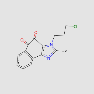 CC(C)c1nc2c(n1CCCCl)C(=O)C(=O)c1ccccc1-2